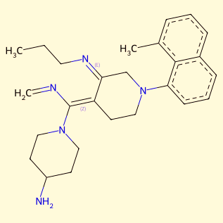 C=N/C(=C1/CCN(c2cccc3cccc(C)c23)C/C1=N/CCC)N1CCC(N)CC1